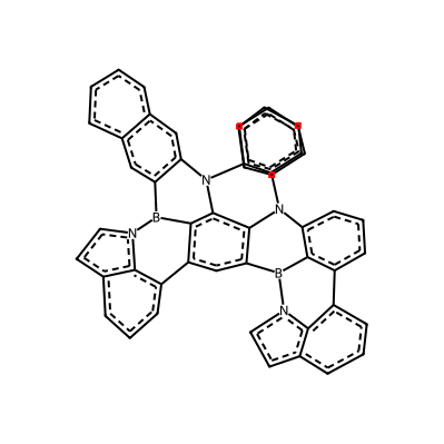 c1ccc(N2c3cccc4c3B(c3cc5c6c(c32)N(c2ccccc2)c2cc3ccccc3cc2B6n2ccc3cccc-5c32)n2ccc3cccc-4c32)cc1